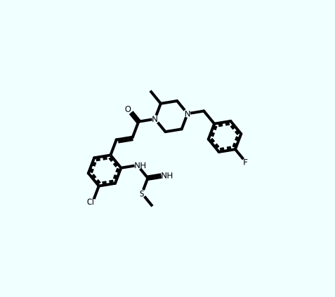 CSC(=N)Nc1cc(Cl)ccc1/C=C/C(=O)N1CCN(Cc2ccc(F)cc2)CC1C